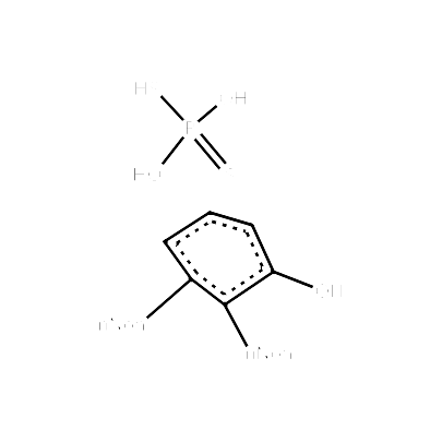 CCCCCCCCCc1cccc(O)c1CCCCCCCCC.OP(O)(=S)S